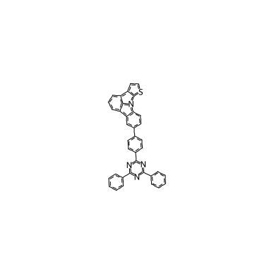 c1ccc(-c2nc(-c3ccccc3)nc(-c3ccc(-c4ccc5c(c4)c4cccc6c7ccsc7n5c46)cc3)n2)cc1